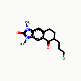 Cn1c(=O)n(C)c2cc3c(cc21)CCC(CCCCl)C3=O